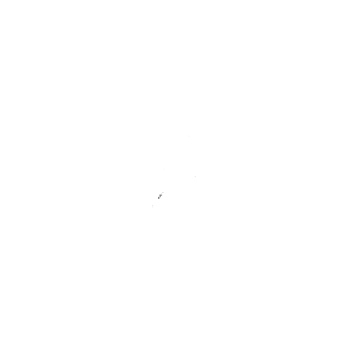 C[C@@H]1CC[S+]([O-])C1